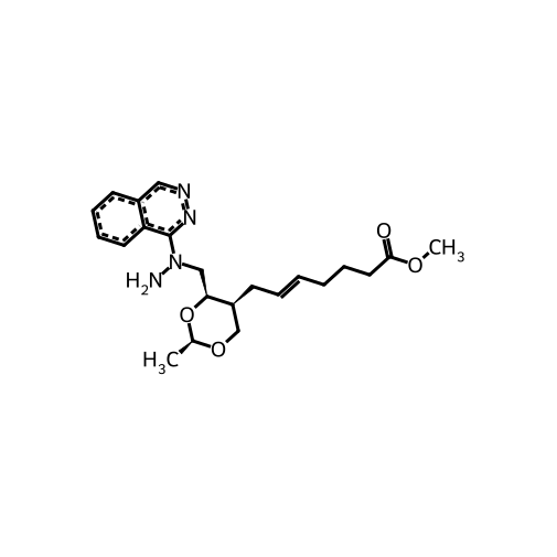 COC(=O)CCCC=CC[C@H]1CO[C@@H](C)O[C@H]1CN(N)c1nncc2ccccc12